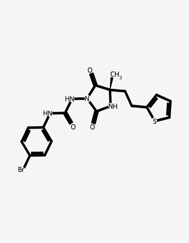 C[C@@]1(CCc2cccs2)NC(=O)N(NC(=O)Nc2ccc(Br)cc2)C1=O